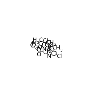 COP(=O)(Cn1c(CC(NC(=O)OC(C)(C)C)C(=O)OCc2ccccc2)nc2cc(Cl)ccc21)OC